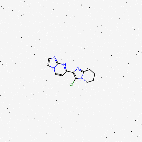 Clc1c(-c2ccn3c[c]nc3n2)nc2n1CCCC2